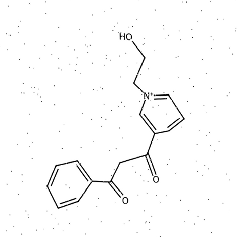 O=C(CC(=O)c1ccc[n+](CCO)c1)c1ccccc1